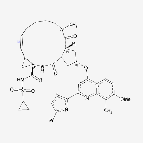 COc1ccc2c(O[C@@H]3CC4C(=O)N[C@]5(C(=O)NS(=O)(=O)C6CC6)CC5/C=C\CCCCN(C)C(=O)[C@@H]4C3)cc(-c3nc(C(C)C)cs3)nc2c1C